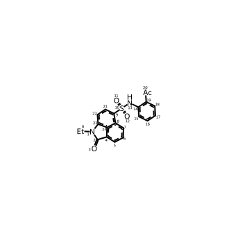 CCN1C(=O)c2cccc3c(S(=O)(=O)Nc4ccccc4C(C)=O)ccc1c23